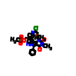 Cn1c(=O)c2c(-c3ccccc3)[nH]c(C(c3nc(Cl)cs3)C(C)(C)COS(C)(=O)=O)c2n(C)c1=O